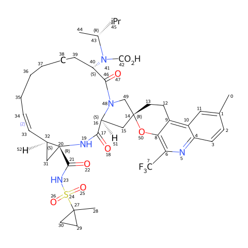 Cc1ccc2nc(C(F)(F)F)c3c(c2c1)CC[C@]1(C[C@H]2C(=O)N[C@]4(C(=O)NS(=O)(=O)C5(C)CC5)C[C@H]4/C=C\CCCCC[C@H](N(C(=O)O)[C@H](C)C(C)C)C(=O)N2C1)O3